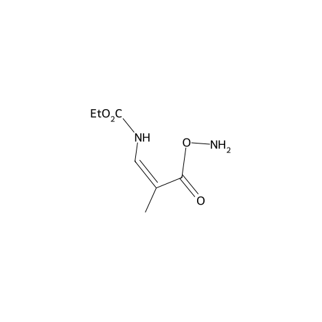 CCOC(=O)NC=C(C)C(=O)ON